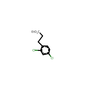 CCOC(=O)CCc1ccc(Cl)cc1Cl